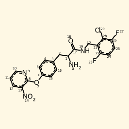 NC(Cc1ccc(Oc2ncccc2[N+](=O)[O-])cc1)C(=O)NCc1c(F)ccc(F)c1Cl